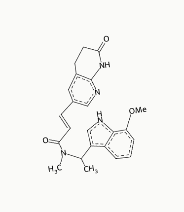 COc1cccc2c(C(C)N(C)C(=O)/C=C/c3cnc4c(c3)CCC(=O)N4)c[nH]c12